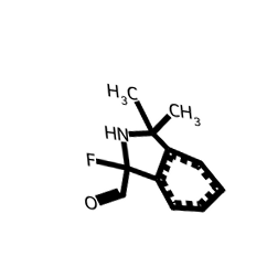 CC1(C)NC(F)(C=O)c2ccccc21